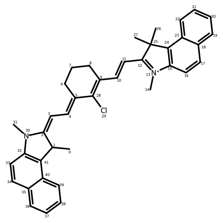 CC1/C(=C\C=C2/CCCC(/C=C/C3=[N+](C)c4ccc5ccccc5c4C3(C)C)=C2Cl)N(C)c2ccc3ccccc3c21